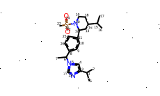 CC(C)c1cn(C(C)c2ccc(C3CC(C(C)C)CCN3S(C)(=O)=O)cc2)cn1